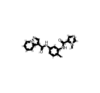 Cc1ccc(NC(=O)c2cnn3ccccc23)cc1NC(=O)c1cncn1C